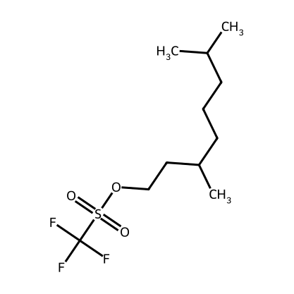 CC(C)CCCC(C)CCOS(=O)(=O)C(F)(F)F